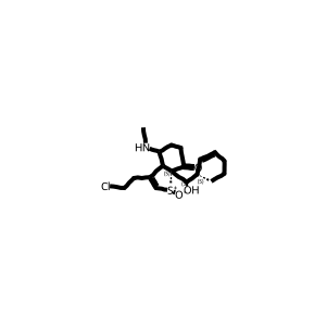 CNC1CCC(=O)[C@@]2([C@@H](O)[C@@H]3C=CCCC3)C1C(CCCl)=C[S+]2[O-]